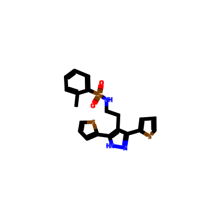 Cc1ccccc1S(=O)(=O)NCCc1c(-c2cccs2)n[nH]c1-c1cccs1